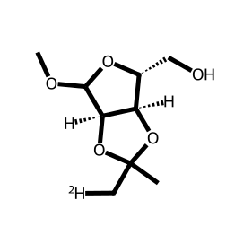 [2H]CC1(C)O[C@@H]2[C@@H](CO)OC(OC)[C@@H]2O1